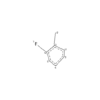 Cc1[c]cccc1F